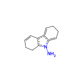 Nn1c2c(c3c1=CCCC=3)C=CCC2